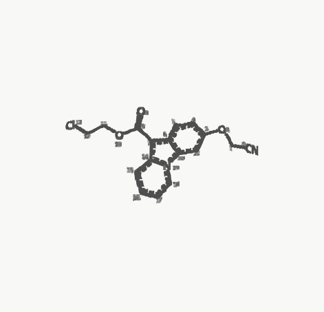 N#CCOc1ccc2c(C(=O)OCCCl)c3ccccn3c2c1